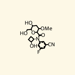 COC1CC(O)C(CO)OC1C(=O)N(c1cc(F)cc(C#N)c1)[C@H]1CC[C@@H]1O